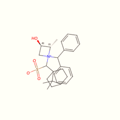 C[C@H]1[C@H](O)C[N+]1(C(c1ccccc1)c1ccccc1)C(C12CCC(CC1)C2(C)C)S(=O)(=O)[O-]